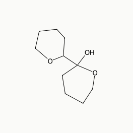 OC1(C2CCCCO2)CCCCO1